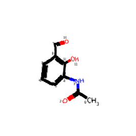 CC(=O)Nc1cccc([C]=O)c1O